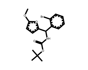 COc1ccc(C(NC(=O)OC(C)(C)C)c2ccccc2Br)o1